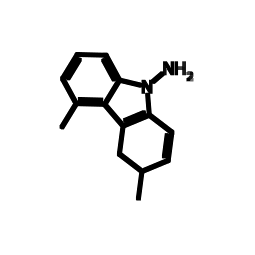 Cc1cccc2c1c1c(n2N)C=CC(C)C1